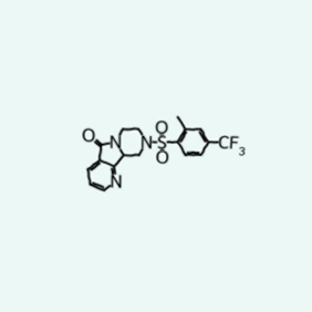 Cc1cc(C(F)(F)F)ccc1S(=O)(=O)N1CCN2C(=O)c3cccnc3C2C1